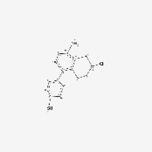 CN1CCc2c(-c3ccc(S)cc3)ccc(N)c2C1